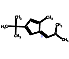 CC1=CC(C(C)(C)C)=C/C1=C/N(C)C